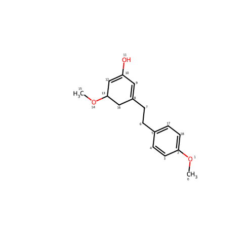 COc1ccc(CCC2=CC(O)=CC(OC)C2)cc1